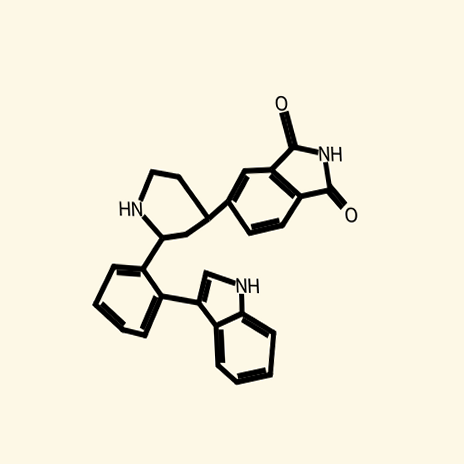 O=C1NC(=O)c2cc(C3CCNC(c4ccccc4-c4c[nH]c5ccccc45)C3)ccc21